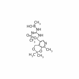 CB(O)NC(=NS(=O)(=O)C(F)(F)F)NCc1cnc(C)c2c1COC(C)(C)O2